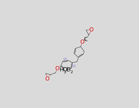 C=C(/C=C\C(=C/C)CC1=CCC(OCC2CO2)C=C1)OCC1CO1